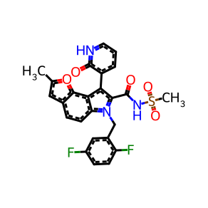 Cc1cc2ccc3c(c(-c4ccc[nH]c4=O)c(C(=O)NS(C)(=O)=O)n3Cc3cc(F)ccc3F)c2o1